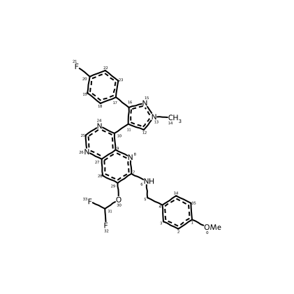 COc1ccc(CNc2nc3c(-c4cn(C)nc4-c4ccc(F)cc4)ncnc3cc2OC(F)F)cc1